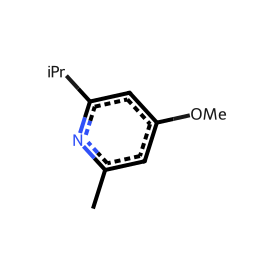 COc1cc(C)nc(C(C)C)c1